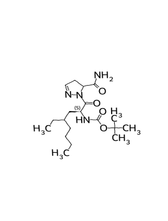 CCCCC(CC)C[C@H](NC(=O)OC(C)(C)C)C(=O)N1N=CCC1C(N)=O